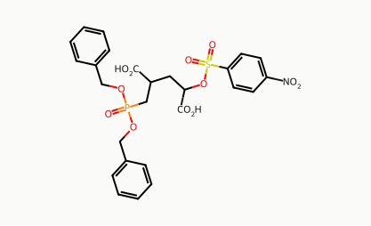 O=C(O)C(CC(OS(=O)(=O)c1ccc([N+](=O)[O-])cc1)C(=O)O)CP(=O)(OCc1ccccc1)OCc1ccccc1